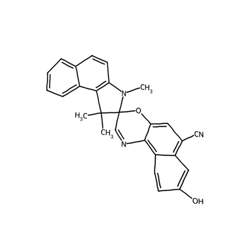 CN1c2ccc3ccccc3c2C(C)(C)C12C=Nc1c(cc(C#N)c3cc(O)ccc13)O2